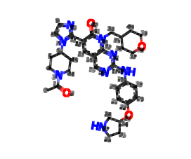 CC(=O)N1CCC(n2ccnc2-c2cc3cnc(Nc4ccc(OC5CCNC5)cc4)nc3n(CC3CCOCC3)c2=O)CC1